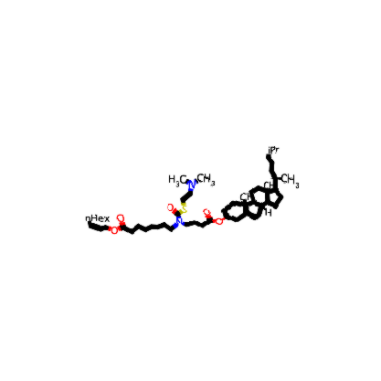 CCCCCC/C=C\COC(=O)CCCCCCCN(CCCC(=O)O[C@H]1CC[C@@]2(C)C(=CC[C@H]3C4CCC([C@H](C)CCCC(C)C)[C@@]4(C)CCC32)C1)C(=O)SCCN(C)C